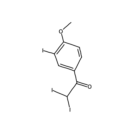 COc1ccc(C(=O)C(I)I)cc1I